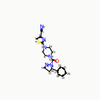 N#Cc1csc(N2CCN(C(=O)N3N=CCC3c3ccccc3)CC2)n1